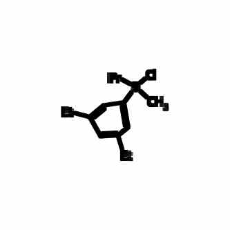 CCc1cc(CC)cc([Si](C)(Cl)C(C)C)c1